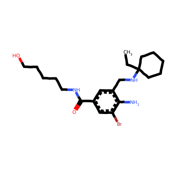 CCC1(NCc2cc(C(=O)NCCCCCO)cc(Br)c2N)CCCCC1